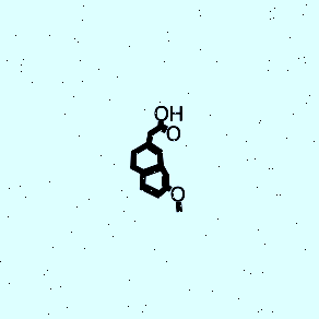 COc1ccc2c(c1)C=C(CC(=O)O)CC2